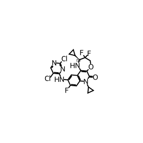 O=c1c2c(c3cc(Nc4nc(Cl)ncc4Cl)c(F)cc3n1C1CC1)N[C@@H](C1CC1)C(F)(F)CO2